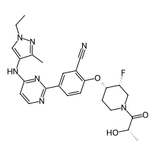 CCn1cc(Nc2ccnc(-c3ccc(O[C@H]4CCN(C(=O)[C@H](C)O)C[C@H]4F)c(C#N)c3)n2)c(C)n1